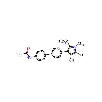 CCOC(=O)c1c(-c2ccc(-c3ccc(NC(=O)C(C)C)cc3)cc2)c(C#N)c(CC)n1C